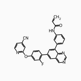 C=CC(=O)Nc1cccc(-c2cc(-c3ccc(Oc4cc(C#N)ccn4)cc3F)cc3cncnc23)c1